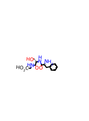 N[C@@H](Cc1ccccc1)C(=O)N[C@@H](CO)C(=O)NCC(=O)O